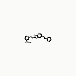 COc1ccnc(CCc2nc3cc(CCc4ccccc4)cnc3[nH]2)c1